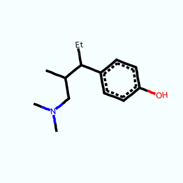 CCC(c1ccc(O)cc1)C(C)CN(C)C